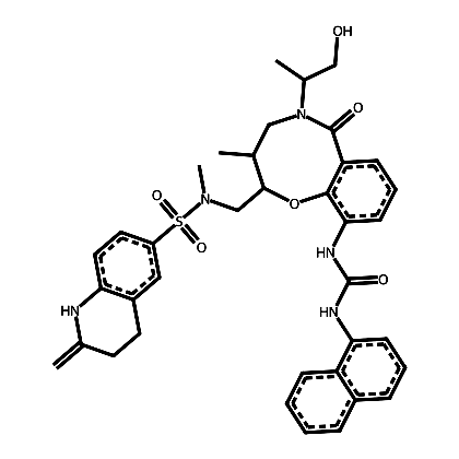 C=C1CCc2cc(S(=O)(=O)N(C)CC3Oc4c(NC(=O)Nc5cccc6ccccc56)cccc4C(=O)N(C(C)CO)CC3C)ccc2N1